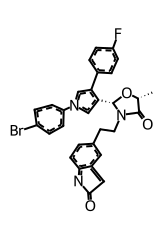 C[C@H]1O[C@@H](c2cn(-c3ccc(Br)cc3)cc2-c2ccc(F)cc2)N(CCc2ccc3c(c2)=CC(=O)N=3)C1=O